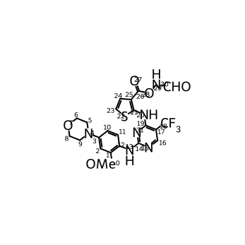 COc1cc(N2CCOCC2)ccc1Nc1ncc(C(F)(F)F)c(Nc2sccc2C(=O)ONC=O)n1